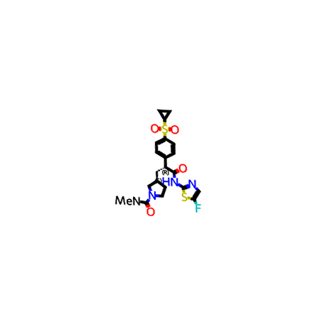 CNC(=O)N1CC[C@H](C[C@@H](C(=O)Nc2ncc(F)s2)c2ccc(S(=O)(=O)C3CC3)cc2)C1